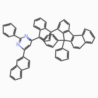 c1ccc(-c2nc(-c3ccc4ccccc4c3)cc(-c3ccc(-c4cccc5c4C(c4ccccc4)(c4ccccc4)c4ccc6ccccc6c4-5)c4ccccc34)n2)cc1